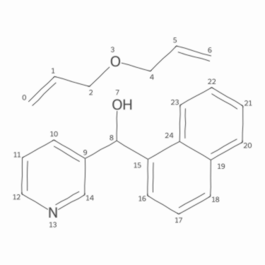 C=CCOCC=C.OC(c1cccnc1)c1cccc2ccccc12